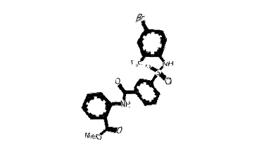 COC(=O)c1ccccc1NC(=O)c1cccc(S(=O)(=O)Nc2ccc(Br)cc2C(F)(F)F)c1